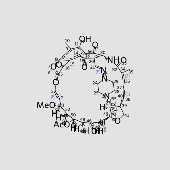 CO[C@H]1/C=C/O[C@@]2(C)Oc3c(C)c(O)c4c(c3C2=O)C(=O)C(/C=N/N2CCN(C)CC2)=C(NC(=O)/C(C)=C\C=C\C2(C)CO[C@H]([C@@H](C)[C@@H](O)[C@@H](C)[C@H](OC(C)=O)[C@@H]1C)[C@H]2C)C4=O